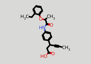 CC#CC(CC(=O)O)c1ccc(NC(=O)C(C)Oc2ccccc2CC)cc1